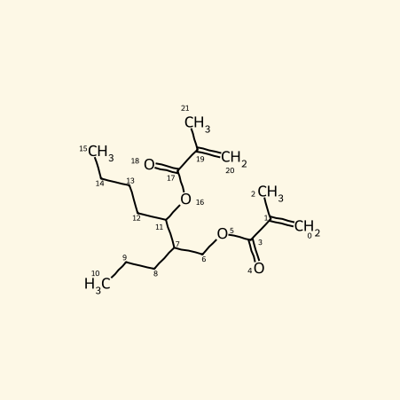 C=C(C)C(=O)OCC(CCC)C(CCCC)OC(=O)C(=C)C